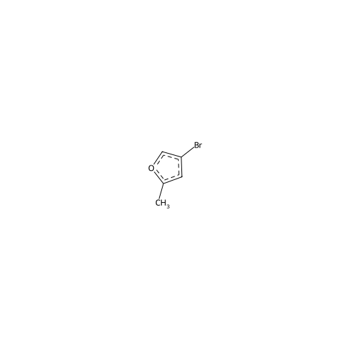 Cc1cc(Br)co1